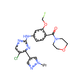 CC(C)n1cc(-c2nc(Nc3ccc(C(=O)N4CCOCC4)c(OCF)c3)ncc2Cl)cn1